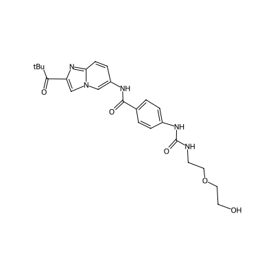 CC(C)(C)C(=O)c1cn2cc(NC(=O)c3ccc(NC(=O)NCCOCCO)cc3)ccc2n1